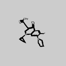 O=C(O)c1cn(C2CC2)c2cc(-n3cccc3)c(F)cc2c1=O